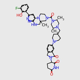 C[C@@H]1CN(CC2CCN(c3ccc4c(c3)C(=O)N(C3CCC(=O)NC3=O)C4)CC2)[C@@H](C)CN1C(=O)N1CCN2c3cc(-c4cccc(F)c4O)nnc3NCC2(C)C1